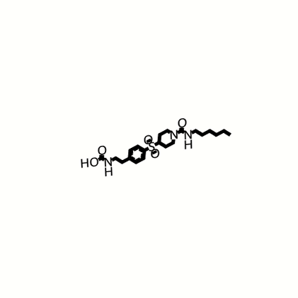 CCCCCCNC(=O)N1CCC(S(=O)(=O)c2ccc(CCNC(=O)O)cc2)CC1